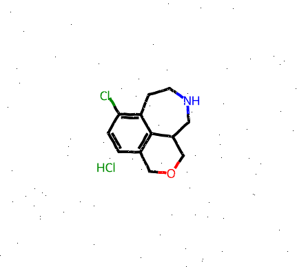 Cl.Clc1ccc2c3c1CCNCC3COC2